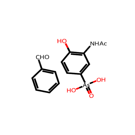 CC(=O)Nc1cc([As](=O)(O)O)ccc1O.O=Cc1ccccc1